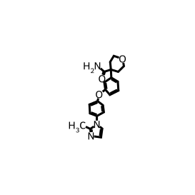 Cc1nccn1-c1ccc(Oc2cccc(C3(C(N)=O)CCOCC3)c2)cc1